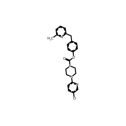 Cc1cccc(Cc2ccc(OC(=O)N3CCN(c4ccc(Cl)cn4)CC3)cc2)n1